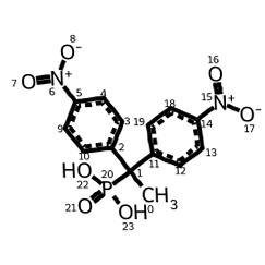 CC(c1ccc([N+](=O)[O-])cc1)(c1ccc([N+](=O)[O-])cc1)P(=O)(O)O